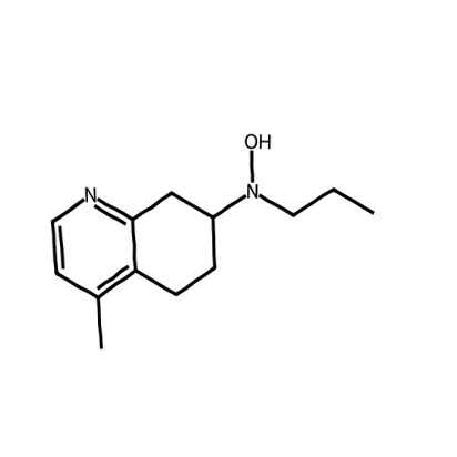 CCCN(O)C1CCc2c(C)ccnc2C1